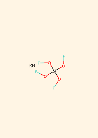 FO[Si](OF)(OF)OF.[KH]